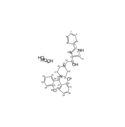 Cc1[nH]c(-c2ccccc2)nc1C(O)CN1CCN(C(c2ccccc2Cl)c2ccccc2Cl)CC1.Cl.Cl.Cl